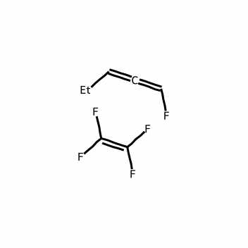 CCC=C=CF.FC(F)=C(F)F